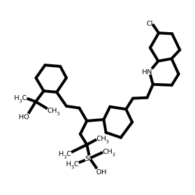 CC(C)(O)C1CCCCC1CCC(CC(C)(C)[Si](C)(C)O)C1CCCC(CCC2CCC3CCC(Cl)CC3N2)C1